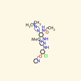 C=CC(=O)Nc1cc(Nc2nccc(Nc3ccc(OCc4ccccn4)c(Cl)c3)n2)c(OC)cc1N1CCN(N(C)C)CC1